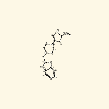 CNC1NN=C(N2CCN(Cc3cc4ncccn4c3)CC2)S1